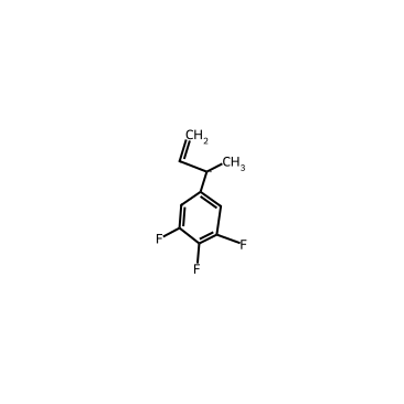 C=C[C](C)c1cc(F)c(F)c(F)c1